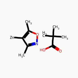 CC(C)(C)C(=O)O.Cc1noc(C)[c]1[Zn]